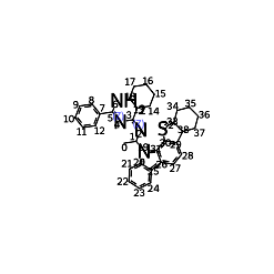 CC(/N=C(\N=C(/N)c1ccccc1)C1CCCCC1)n1c2ccccc2c2ccc3c(c21)SC1CCCCC31